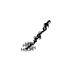 COCc1cnc(N2CCC(CCCOc3ccc(CC(=O)N4CC(CNC[C@H](O)[C@@H](O)[C@H](O)[C@H](O)CO)C4)c(F)c3)CC2)nc1